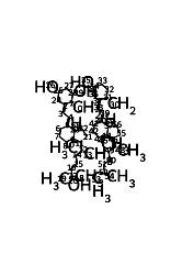 C=C1/C(=C\C=C2/CCC[C@]3(C)[C@@H]([C@H](C)CCCC(C)(C)O)CC[C@@H]23)C[C@@H](O)C[C@@H]1O.C=C1CC[C@H](O)C/C1=C/C=C1\CCC[C@]2(C)[C@@H]([C@H](C)CCCC(C)C)CC[C@@H]12